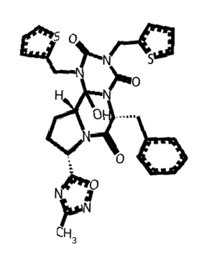 Cc1noc([C@@H]2CC[C@H]3N2C(=O)[C@@H](Cc2ccccc2)N2C(=O)N(Cc4cccs4)C(=O)N(Cc4cccs4)C32O)n1